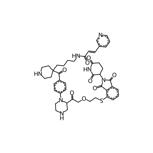 O=C(/C=C/c1cccnc1)NCCCCC1(C(=O)c2ccc(N3CCNCC3C(=O)COCCSc3cccc4c3C(=O)N(C3CCC(=O)NC3=O)C4=O)cc2)CCNCC1